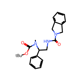 CN(C(=O)OC(C)(C)C)C(CNC(=O)N1Cc2ccccc2C1)c1ccccc1